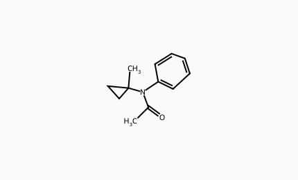 CC(=O)N(c1ccccc1)C1(C)CC1